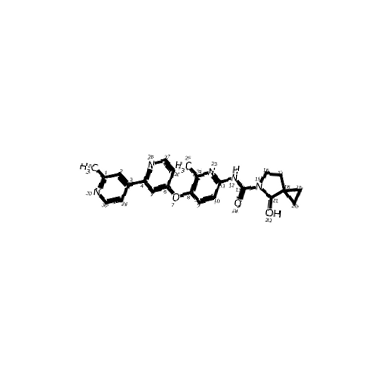 Cc1cc(-c2cc(Oc3ccc(NC(=O)N4CCC5(CC5)C4O)nc3C)ccn2)ccn1